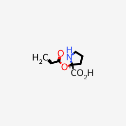 C=CC(=O)O[C@@]1(C(=O)O)CCCN1